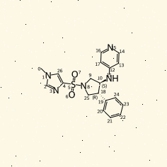 Cn1cnc(S(=O)(=O)N2C[C@@H](Nc3ccncc3)[C@H](c3ccccc3)C2)c1